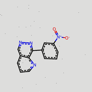 O=[N+]([O-])c1cccc(-c2nncc3cccnc23)c1